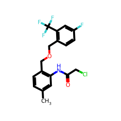 Cc1ccc(COCc2ccc(F)cc2C(F)(F)F)c(NC(=O)CCl)c1